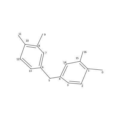 Cc1[c]cc(Cc2[c]c(C)c(C)[c]c2)[c]c1C